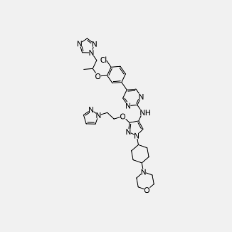 CC(Cn1cncn1)Oc1cc(-c2cnc(Nc3cn(C4CCC(N5CCOCC5)CC4)nc3OCCn3cccn3)nc2)ccc1Cl